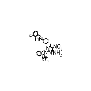 Nc1nc(NCc2ccccc2OC(F)(F)F)nc(C[C@H]2CC[C@H](NCc3cccc(F)c3)CC2)c1[N+](=O)[O-]